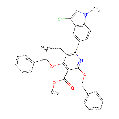 CCc1c(-c2ccc3c(c2)c(Cl)cn3C)nc(OCc2ccccc2)c(C(=O)OC)c1OCc1ccccc1